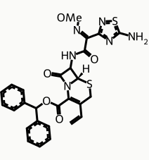 C=CC1=C(C(=O)OC(c2ccccc2)c2ccccc2)N2C(=O)C(NC(=O)C(=NOC)c3nsc(N)n3)[C@@H]2SC1